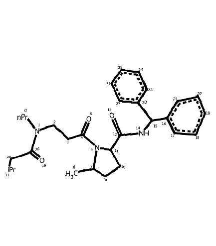 CCCN(CCC(=O)N1C(C)CCC1C(=O)NC(c1ccccc1)c1ccccc1)C(=O)CC(C)C